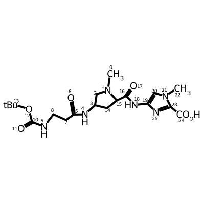 CN1CC(NC(=O)CCNC(=O)OC(C)(C)C)CC1C(=O)Nc1cn(C)c(C(=O)O)n1